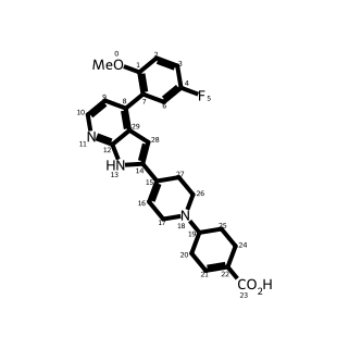 COc1ccc(F)cc1-c1ccnc2[nH]c(C3=CCN(C4CC=C(C(=O)O)CC4)CC3)cc12